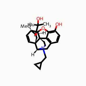 CO[C@@]12C=C[C@@]3(C[C@@H]1C(C)(O)C(C)(C)C)[C@H]1Cc4ccc(O)c5c4[C@@]3(CCN1CC1CC1)[C@H]2O5